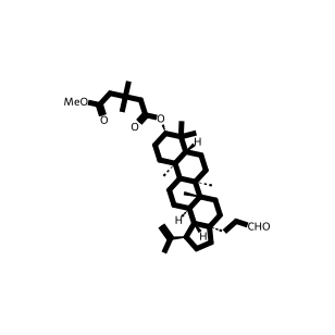 C=C(C)[C@@H]1CC[C@]2(CCC=O)CC[C@]3(C)[C@H](CCC4[C@@]5(C)CC[C@H](OC(=O)CC(C)(C)CC(=O)OC)C(C)(C)[C@@H]5CC[C@]43C)[C@@H]12